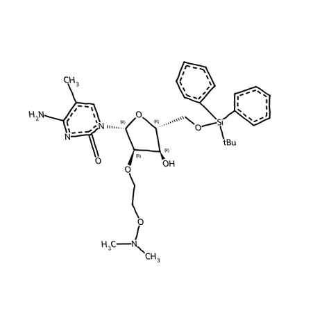 Cc1cn([C@@H]2O[C@H](CO[Si](c3ccccc3)(c3ccccc3)C(C)(C)C)[C@@H](O)[C@H]2OCCON(C)C)c(=O)nc1N